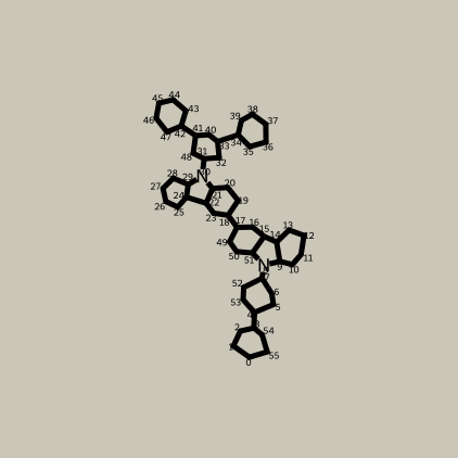 C1CCC(C2CCC(N3C4CCCCC4C4CC(C5CCC6C(C5)C5CCCCC5N6C5CC(C6CCCCC6)CC(C6CCCCC6)C5)CCC43)CC2)CC1